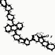 CC1(C)c2ccc(-c3ccc4oc5ccc(-c6c7ccccc7c(-c7ccc(-c8ccc9ccccc9c8)cc7)c7ccccc67)cc5c4c3)cc2-c2cc3ccccc3cc21